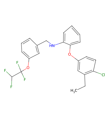 CCc1cc(Oc2ccccc2NCc2cccc(OC(F)(F)C(F)F)c2)ccc1Cl